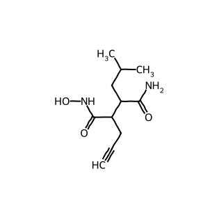 C#CCC(C(=O)NO)C(CC(C)C)C(N)=O